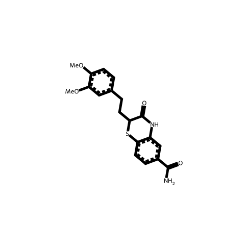 COc1ccc(CCC2Sc3ccc(C(N)=O)cc3NC2=O)cc1OC